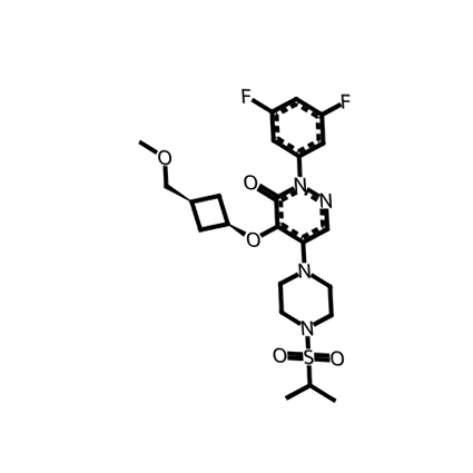 COC[C@H]1C[C@@H](Oc2c(N3CCN(S(=O)(=O)C(C)C)CC3)cnn(-c3cc(F)cc(F)c3)c2=O)C1